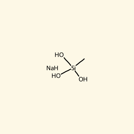 C[Si](O)(O)O.[NaH]